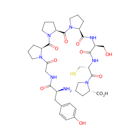 N[C@@H](Cc1ccc(O)cc1)C(=O)NCC(=O)N1CCC[C@H]1C(=O)N1CCC[C@H]1C(=O)N1CCC[C@H]1C(=O)N[C@@H](CO)C(=O)N[C@@H](CS)C(=O)N1CCC[C@H]1C(=O)O